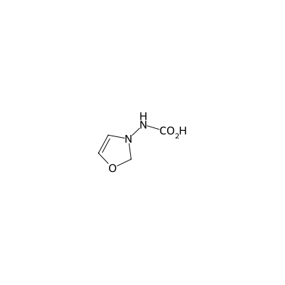 O=C(O)NN1C=COC1